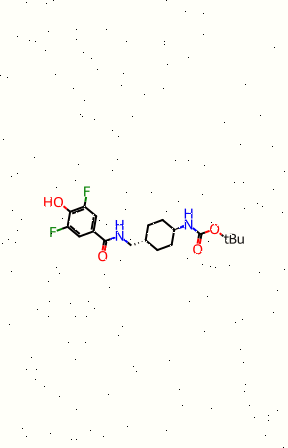 CC(C)(C)OC(=O)N[C@H]1CC[C@H](CNC(=O)c2cc(F)c(O)c(F)c2)CC1